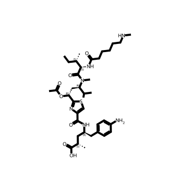 CC[C@H](C)[C@H](NC(=O)CCCCCNC)C(=O)N(C)[C@H](C[C@@H](OC(C)=O)c1nc(C(=O)N[C@@H](Cc2ccc(N)cc2)C[C@H](C)C(=O)O)cs1)C(C)C